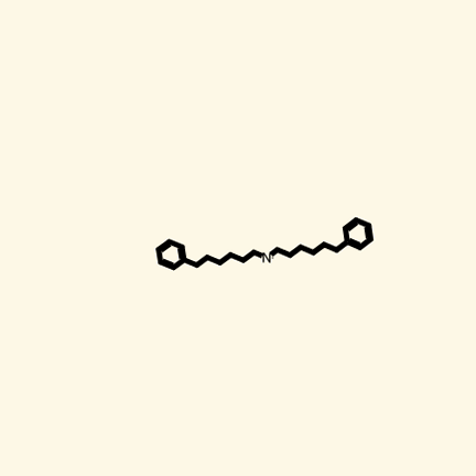 c1ccc(CCCCCC[N]CCCCCCc2ccccc2)cc1